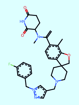 C=C(c1ccc2c(c1C)OCC21CCN(Cc2cnn(Cc3cccc(F)c3)c2)CC1)N(C)C1CCC(=O)NC1=O